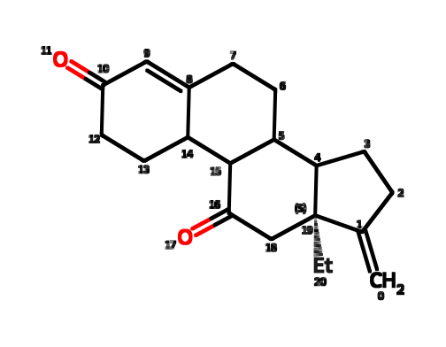 C=C1CCC2C3CCC4=CC(=O)CCC4C3C(=O)C[C@]12CC